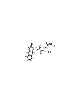 NC(=O)CCC(NC(=O)CCN1C(=O)/C(=C\c2ccccc2)SC1=S)C(=O)O